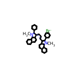 Cn1c(-c2ccccc2)c(/C=C/C=C2/C(c3ccccc3)=[N+](C)c3c2ccc2ccccc32)c2ccc3ccccc3c21.[Br-]